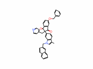 Cc1cn(Cc2ccc3ccccc3c2)c2cc(C3(Cc4ccncc4)C(=O)c4ccc(OCc5ccccc5)cc4C3=O)ccc12